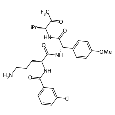 COc1ccc([C@H](NC(=O)[C@H](CCCN)NC(=O)c2cccc(Cl)c2)C(=O)N[C@H](C(=O)C(F)(F)F)C(C)C)cc1